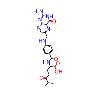 CC(C)C(=O)CCC(NC(=O)c1ccc(NCC2=NC3C(=O)NC(N)=NC3N=C2)cc1)C(=O)O